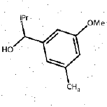 COc1cc(C)cc(C(O)C(C)C)c1